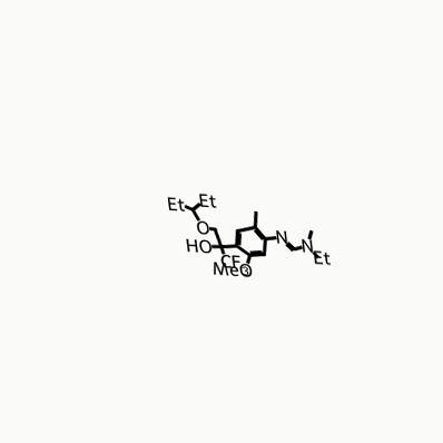 CCC(CC)OCC(O)(c1cc(C)c(N=CN(C)CC)cc1OC)C(F)(F)F